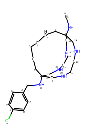 CCNC12CBCCCCC(NCc3ccc(Cl)cc3)(CNCCNC1)CNCCNC2